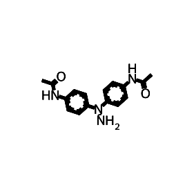 CC(=O)Nc1ccc(N(N)c2ccc(NC(C)=O)cc2)cc1